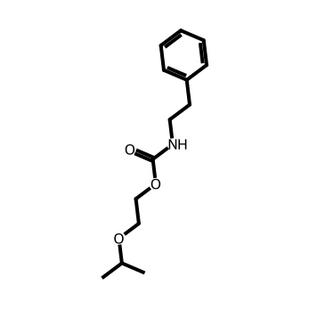 CC(C)OCCOC(=O)NCCc1ccccc1